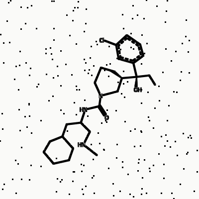 CC[C@@](O)(c1cccc(Cl)c1)[C@@H]1CCCN(C(=O)NC(CNC)CC2CCCCC2)C1